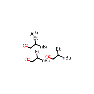 CCCCC(CC)C[O-].CCCCC(CC)C[O-].CCCCC(CC)C[O-].[Al+3]